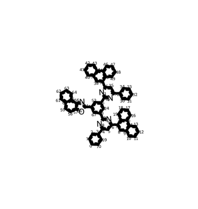 c1ccc(-c2cc(-c3cc4ccccc4c4ccccc34)nc(-c3cc(-c4nc(-c5ccccc5)cc(-c5cc6ccccc6c6ccccc56)n4)cc(-c4nc5c(ccc6ccccc65)o4)c3)n2)cc1